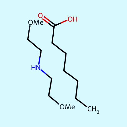 CCCCCCC(=O)O.COCCNCCOC